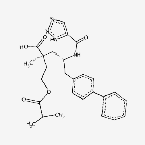 CC(C)C(=O)OCC[C@](C)(C[C@@H](Cc1ccc(-c2ccccc2)cc1)NC(=O)c1cnn[nH]1)C(=O)O